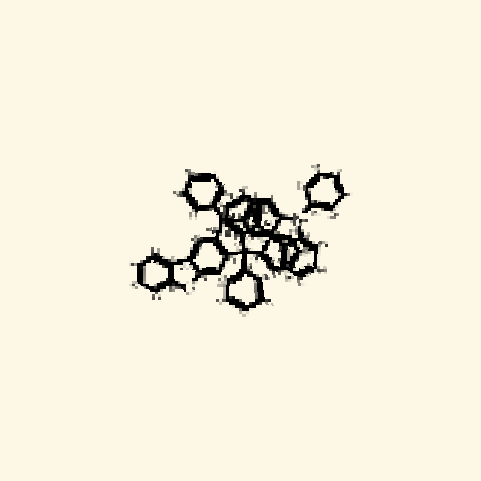 c1ccc(N(c2ccc3c(c2)c2ccccc2n3-c2ccccc2)c2cc3c(cc2C2(c4ccccc4)c4ccccc4-c4ccccc42)oc2ccccc23)cc1